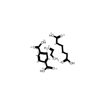 C=CCC.O=C(O)CCCCC(=O)O.O=C(O)c1ccc(C(=O)O)cc1